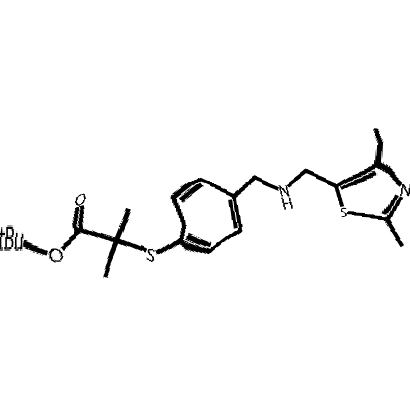 Cc1nc(C)c(CNCc2ccc(SC(C)(C)C(=O)OC(C)(C)C)cc2)s1